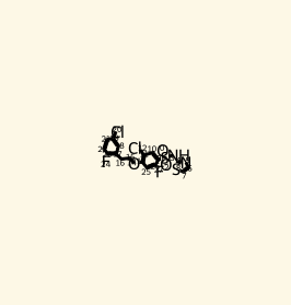 O=S(=O)(Nc1nccs1)c1cc(Cl)c(OCCc2cc(Cl)ccc2F)cc1F